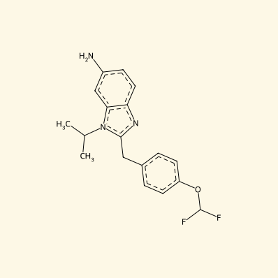 CC(C)n1c(Cc2ccc(OC(F)F)cc2)nc2ccc(N)cc21